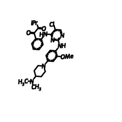 COc1cc(N2CCC(N(C)C)CC2)ccc1Nc1ncc(Cl)c(Nc2ccccc2C(=O)C(=O)C(C)C)n1